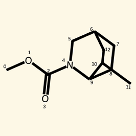 COC(=O)N1CC2CCC1C(C)C2